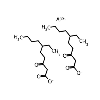 CCCCC(CC)CCC(=O)CC(=O)[O-].CCCCC(CC)CCC(=O)CC(=O)[O-].[Al+2]